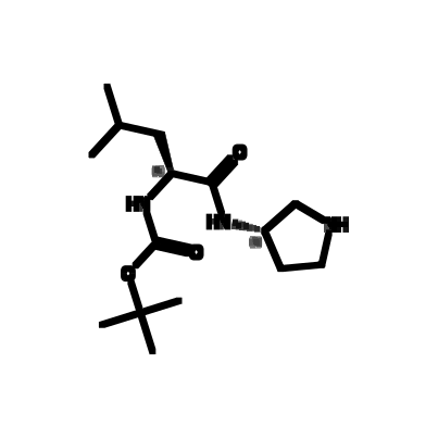 CC(C)C[C@H](NC(=O)OC(C)(C)C)C(=O)N[C@H]1CCNC1